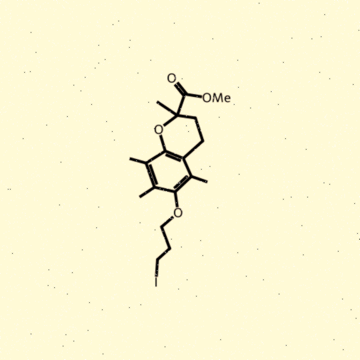 COC(=O)C1(C)CCc2c(C)c(OCCCI)c(C)c(C)c2O1